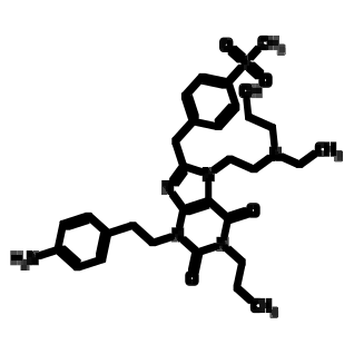 CCCn1c(=O)c2c(nc(Cc3ccc(S(C)(=O)=O)cc3)n2CCN(CC)CCO)n(CCc2ccc(N)cc2)c1=O